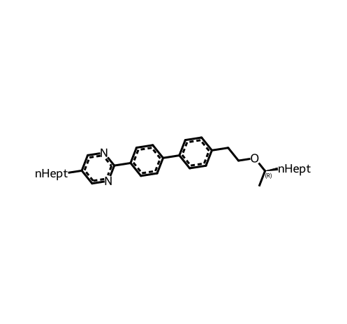 CCCCCCCc1cnc(-c2ccc(-c3ccc(CCO[C@H](C)CCCCCCC)cc3)cc2)nc1